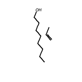 C=CC.CCCCCCCCO